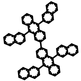 c1ccc2cc(-c3c4ccccc4c(-c4ccc5ccccc5c4)c4cc(-c5ccc6c(-c7ccc8ccccc8c7)c7ccccc7c(-c7ccc8ccccc8c7)c6c5)ccc34)ccc2c1